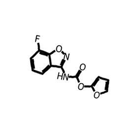 O=C(Nc1noc2c(F)cccc12)Oc1ccco1